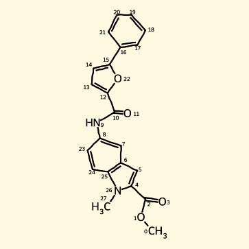 COC(=O)c1cc2cc(NC(=O)c3ccc(-c4ccccc4)o3)ccc2n1C